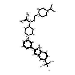 CC(C)N1CCN(CCN(C(=O)O)C2CCN(c3cccc(-c4cc5cc(C(F)(F)F)ccc5[nH]4)c3)CC2)CC1